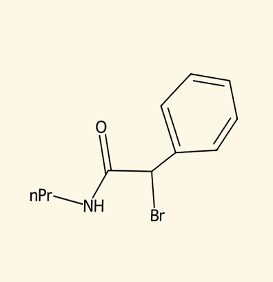 CCCNC(=O)C(Br)c1ccccc1